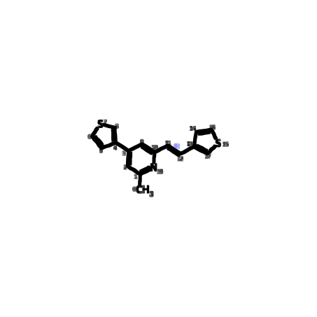 Cc1cc(-c2ccsc2)cc(/C=C/c2ccsc2)n1